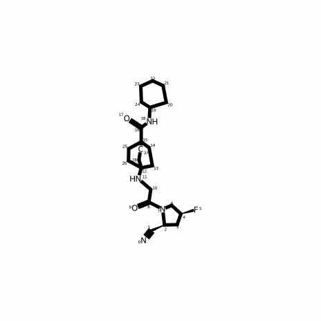 N#C[C@@H]1C[C@H](F)CN1C(=O)CNC12CCC(C(=O)NC3CCCCC3)(CC1)CC2